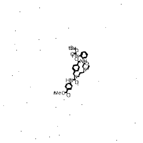 COC(=O)c1ccc(NC(=O)N(CCCN2CCOCC2)Cc2ccc(C(=O)Nc3ccccc3NC(=O)OC(C)(C)C)cc2)cc1